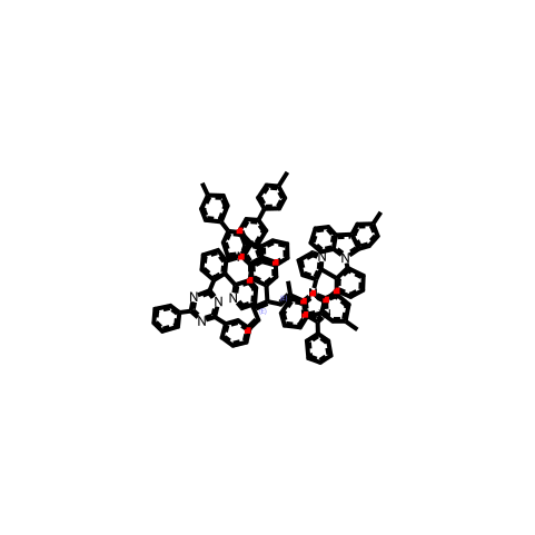 C=C/C=C(\C=C(/C)c1nc(-c2ccccc2)nc(-c2cccc(-n3c4ccccc4c4cc(C)ccc43)c2-c2ncccc2-n2c3ccccc3c3cc(C)ccc32)n1)c1ccc2c3cc(-c4ccc(C)cc4)ccc3n(-c3cccc(-c4nc(-c5ccccc5)nc(-c5ccccc5)n4)c3-c3ncccc3-n3c4ccccc4c4cc(-c5ccc(C)cc5)ccc43)c2c1